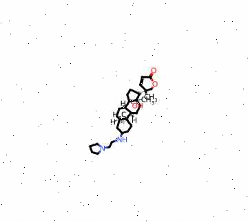 CC1([C@H]2CC[C@]3(O)[C@@H]4CC[C@@H]5CC(NCCN6CCCC6)CC[C@]5(C)[C@H]4CC[C@]23C)C=CC(=O)OC1